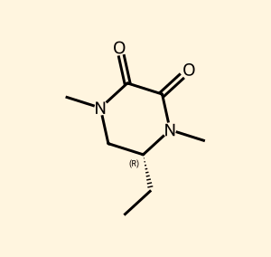 CC[C@@H]1CN(C)C(=O)C(=O)N1C